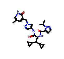 Cc1c[nH]c(=O)c(Cn2cc(NC(=O)[C@@H](NC(=O)c3ccnn3C(C)C)C(C3CC3)C3CC3)cn2)c1